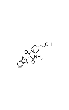 NC(=O)[C@@H](C(=O)N1CCC(CCO)CC1)c1nc2ccccc2s1